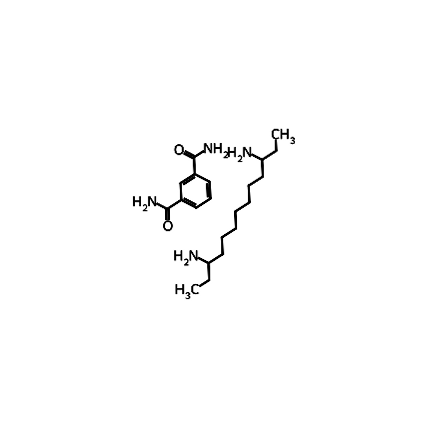 CCC(N)CCCCCCCC(N)CC.NC(=O)c1cccc(C(N)=O)c1